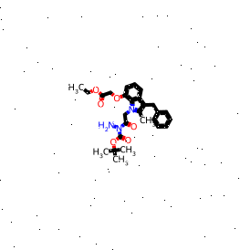 CCOC(=O)COc1cccc2c(Cc3ccccc3)c(C)n(CC(=O)N(N)C(=O)OC(C)(C)C)c12